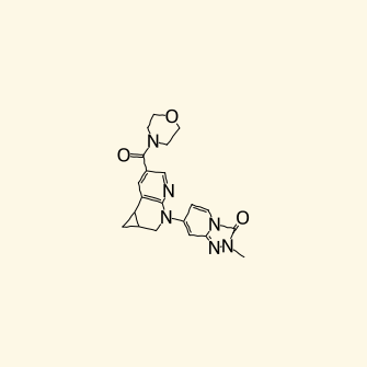 Cn1nc2cc(N3CC4CC4c4cc(C(=O)N5CCOCC5)cnc43)ccn2c1=O